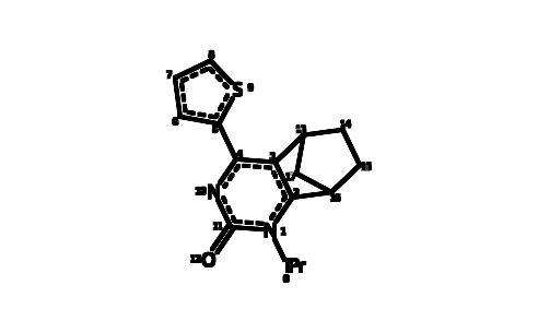 CC(C)n1c2c(c(-c3cccs3)nc1=O)C1CCC2C1